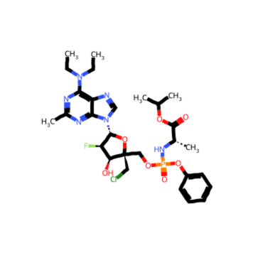 CCN(CC)c1nc(C)nc2c1ncn2[C@@H]1O[C@](CCl)(COP(=O)(N[C@@H](C)C(=O)OC(C)C)Oc2ccccc2)[C@@H](O)[C@H]1F